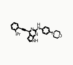 CC(C)c1ccccc1C#Cc1nc(Nc2ccc(N3CCOCC3)cc2)nc2[nH]ccc12